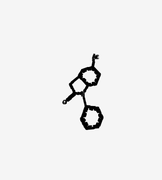 CC(=O)c1ccc2c(c1)CC(=O)N2c1ccccc1